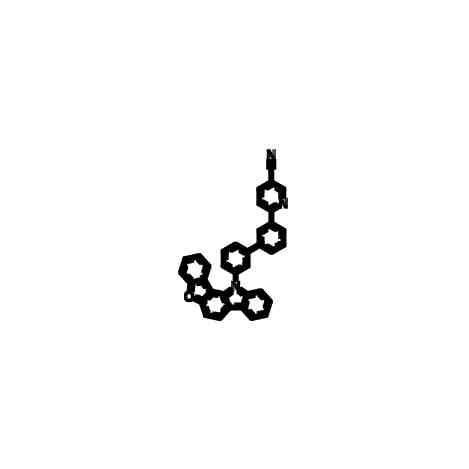 N#Cc1ccc(-c2cccc(-c3cccc(-n4c5ccccc5c5ccc6oc7ccccc7c6c54)c3)c2)nc1